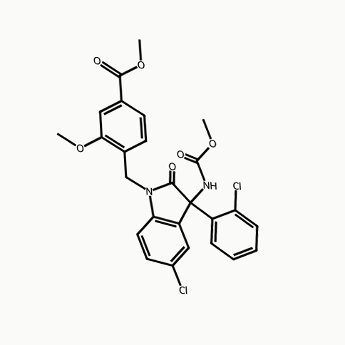 COC(=O)NC1(c2ccccc2Cl)C(=O)N(Cc2ccc(C(=O)OC)cc2OC)c2ccc(Cl)cc21